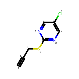 C#CCSc1ncc(Cl)cn1